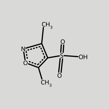 Cc1noc(C)c1S(=O)(=O)O